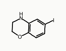 Ic1ccc2c(c1)NCCO2